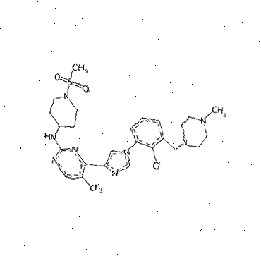 CN1CCN(Cc2cccc(-n3cnc(-c4nc(NC5CCN(S(C)(=O)=O)CC5)ncc4C(F)(F)F)c3)c2Cl)CC1